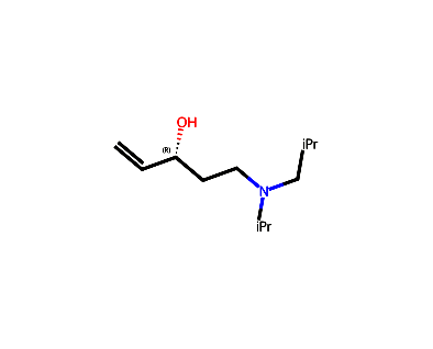 C=C[C@H](O)CCN(CC(C)C)C(C)C